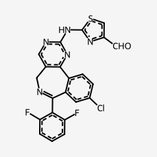 O=Cc1csc(Nc2ncc3c(n2)-c2ccc(Cl)cc2C(c2c(F)cccc2F)=NC3)n1